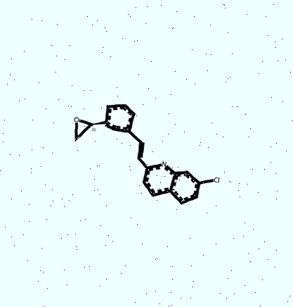 Clc1ccc2ccc(C=Cc3cccc([C@H]4CO4)c3)nc2c1